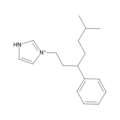 CC(C)CCC(CC[n+]1cc[nH]c1)c1ccccc1